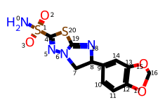 NS(=O)(=O)C1=NN2CC(c3ccc4c(c3)OCO4)N=C2S1